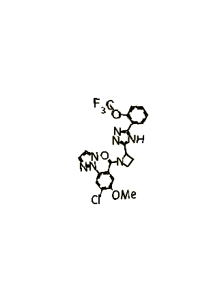 COc1cc(C(=O)N2CCC2c2nnc(-c3ccccc3OC(F)(F)F)[nH]2)c(-n2nccn2)cc1Cl